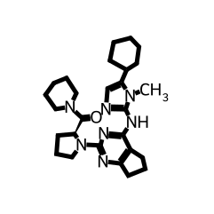 Cn1c(C2CCCCC2)cnc1Nc1nc(N2CCC[C@H]2C(=O)N2CCCCC2)nc2c1CCC2